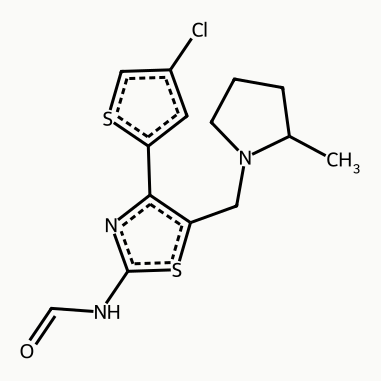 CC1CCCN1Cc1sc(NC=O)nc1-c1cc(Cl)cs1